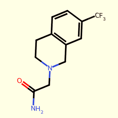 NC(=O)CN1CCc2ccc(C(F)(F)F)cc2C1